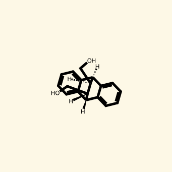 OC[C@H]1[C@H]2c3ccccc3[C@@H](c3ccccc32)[C@@H]1CO